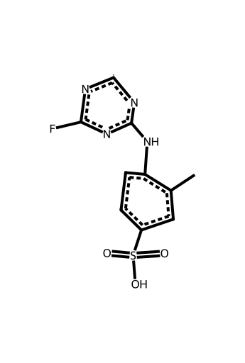 Cc1cc(S(=O)(=O)O)ccc1Nc1n[c]nc(F)n1